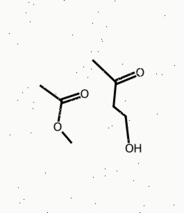 CC(=O)CCO.COC(C)=O